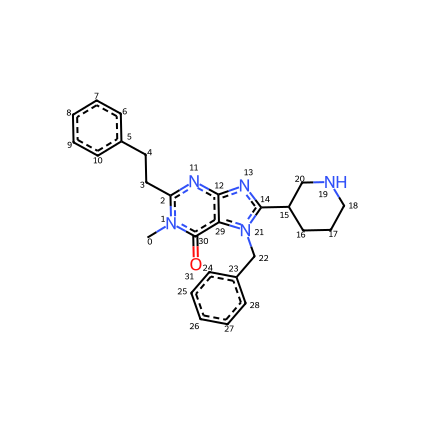 Cn1c(CCc2ccccc2)nc2nc(C3CCCNC3)n(Cc3ccccc3)c2c1=O